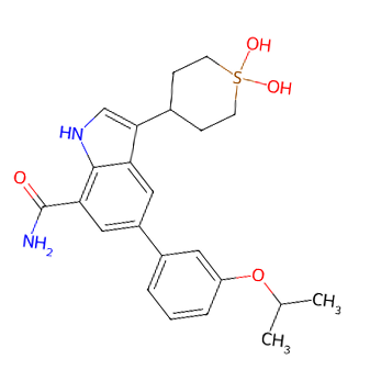 CC(C)Oc1cccc(-c2cc(C(N)=O)c3[nH]cc(C4CCS(O)(O)CC4)c3c2)c1